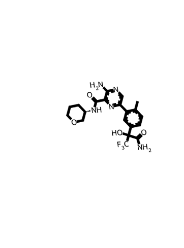 Cc1ccc(C(O)(C(N)=O)C(F)(F)F)cc1-c1cnc(N)c(C(=O)N[C@H]2CCCOC2)n1